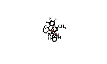 Cc1cc(N2C[C@H]3CC[C@@H](C2)C3Nc2nc3n(n2)CCCO[C@H]3c2ccc(F)c(F)c2F)ncn1